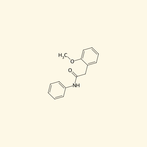 COc1ccccc1CC(=O)Nc1ccccc1